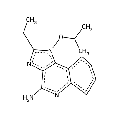 CCc1nc2c(N)nc3ccccc3c2n1OC(C)C